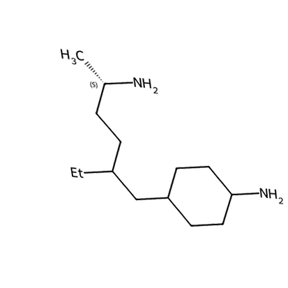 CCC(CC[C@H](C)N)CC1CCC(N)CC1